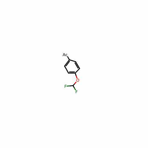 [CH2]C(=O)c1ccc(OC(F)F)cc1